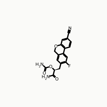 N#Cc1ccc2c(c1)OCc1cc(C[C@H](OC(N)=O)C(N)=O)c(F)cc1-2